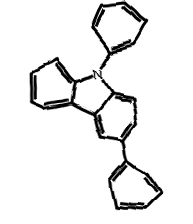 [c]1ccc(-n2c3ccccc3c3cc(-c4ccccc4)ccc32)cc1